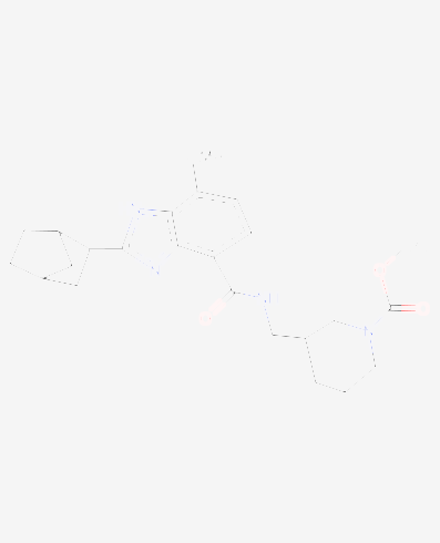 COc1ccc(C(=O)NCC2CCCN(C(=O)OC(C)(C)C)C2)c2nc(C3CC4CCC3C4)[nH]c12